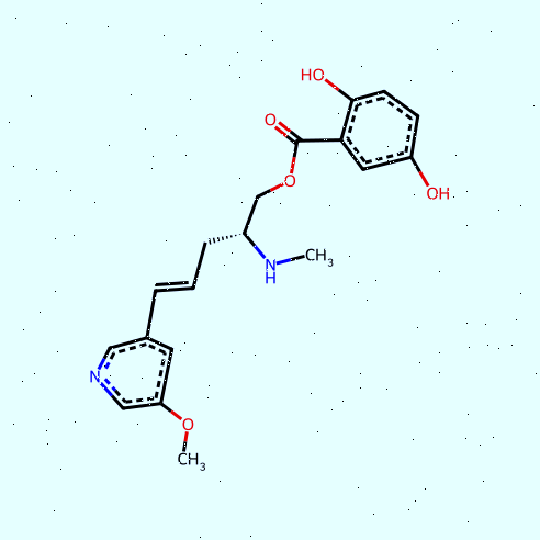 CN[C@H](C/C=C/c1cncc(OC)c1)COC(=O)c1cc(O)ccc1O